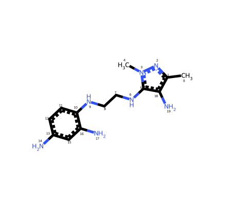 Cc1nn(C)c(NCCNc2ccc(N)cc2N)c1N